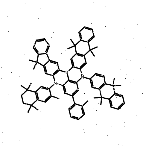 Cc1ccccc1-c1cc2c3c(c1)N(c1cc4c(cc1C)C(C)(C)CCC4(C)C)c1cc4c(cc1B3c1cc3c(cc1N2c1ccc2c(c1)C(C)(C)c1ccccc1C2(C)C)C(C)(C)c1ccccc1C3(C)C)-c1ccccc1C4(C)C